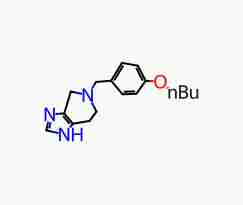 CCCCOc1ccc(CN2CCc3[nH]cnc3C2)cc1